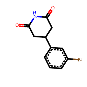 O=C1CC(c2cccc(Br)c2)CC(=O)N1